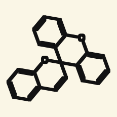 C1=CC2(Oc3ccccc31)c1ccccc1Oc1ccccc12